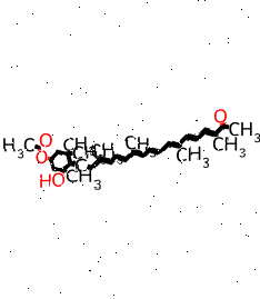 CC(=O)OC1CC(C)(C)C(=C=C/C(C)=C/C=C/C(C)=C/C=C/C=C(C)/C=C/C=C(\C)C(C)=O)C(C)(O)C1